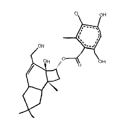 Cc1c(Cl)c(O)cc(O)c1C(=O)O[C@@H]1C[C@]2(C)C3CC(C)(C)CC3C=C(CO)[C@]12O